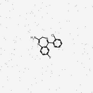 NC1=Nc2ccc(F)cc2C(c2ccccc2Cl)=NC1